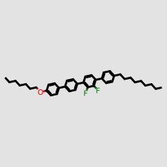 CCCCCCCCCc1ccc(-c2ccc(-c3ccc(-c4ccc(OCCCCCCC)cc4)cc3)c(F)c2F)cc1